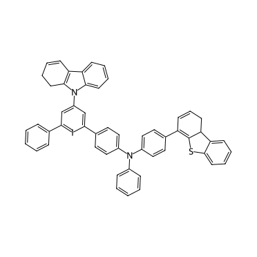 C1=Cc2c(n(C3=CC(c4ccccc4)=IC(c4ccc(N(c5ccccc5)c5ccc(C6=C7Sc8ccccc8C7CC=C6)cc5)cc4)=C3)c3ccccc23)CC1